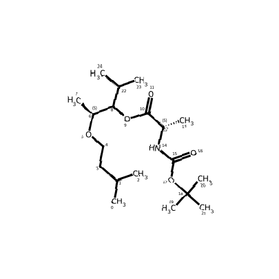 CC(C)CCO[C@@H](C)C(OC(=O)[C@H](C)NC(=O)OC(C)(C)C)C(C)C